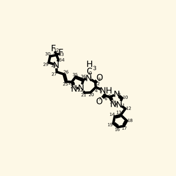 CN1C(=O)C(NC(=O)c2ncn(Cc3ccccc3)n2)CCn2nc(/C=C/CN3CCC(F)(F)C3)cc21